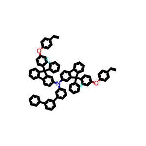 C=Cc1ccc(Oc2ccc(C3(c4ccccc4F)c4ccccc4-c4ccc(N(c5cccc(-c6cccc(-c7ccccc7)c6)c5)c5ccc6c(c5)C(c5ccc(Oc7ccc(C=C)cc7)cc5)(c5ccccc5F)c5ccccc5-6)cc43)cc2)cc1